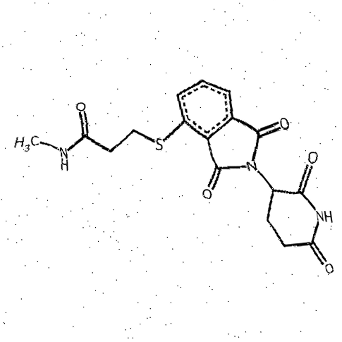 CNC(=O)CCSc1cccc2c1C(=O)N(C1CCC(=O)NC1=O)C2=O